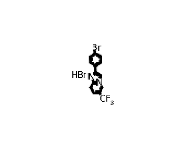 Br.FC(F)(F)c1ccc2nc(-c3ccc(Br)cc3)cn2c1